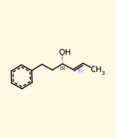 C/C=C/[C@@H](O)CCc1ccccc1